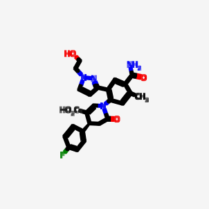 Cc1cc(N2C=C(C(=O)O)[C@H](c3ccc(F)cc3)CC2=O)c(-c2ccn(CCO)n2)cc1C(N)=O